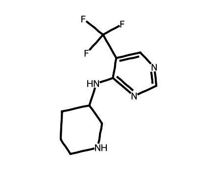 FC(F)(F)c1cncnc1NC1CCCNC1